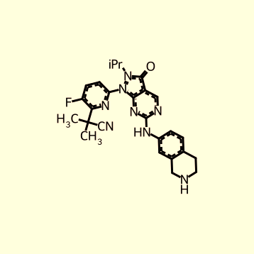 CC(C)n1c(=O)c2cnc(Nc3ccc4c(c3)CNCC4)nc2n1-c1ccc(F)c(C(C)(C)C#N)n1